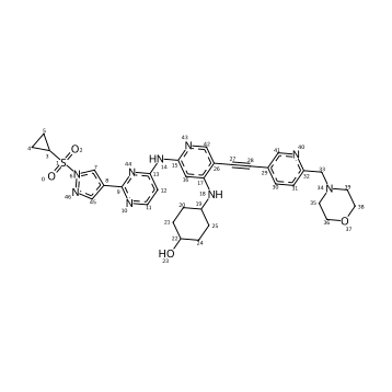 O=S(=O)(C1CC1)n1cc(-c2nccc(Nc3cc(NC4CCC(O)CC4)c(C#Cc4ccc(CN5CCOCC5)nc4)cn3)n2)cn1